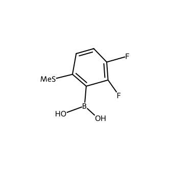 CSc1ccc(F)c(F)c1B(O)O